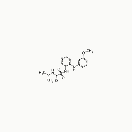 COc1cccc(Nc2ccncc2NS(=O)(=O)C(=O)NC(C)C)c1